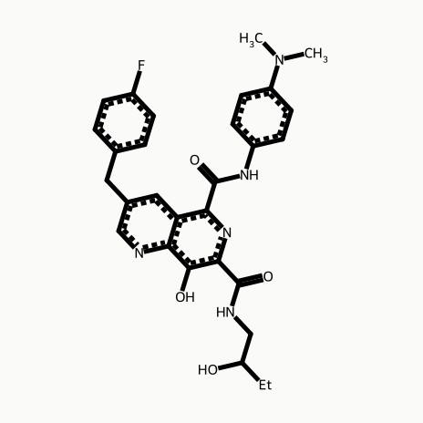 CCC(O)CNC(=O)c1nc(C(=O)Nc2ccc(N(C)C)cc2)c2cc(Cc3ccc(F)cc3)cnc2c1O